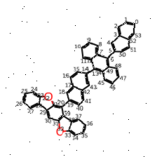 c1ccc2cc(-c3c4ccccc4c(-c4ccc5cc(-c6c7oc8ccccc8c7cc7oc8ccccc8c67)ccc5c4)c4ccccc34)ccc2c1